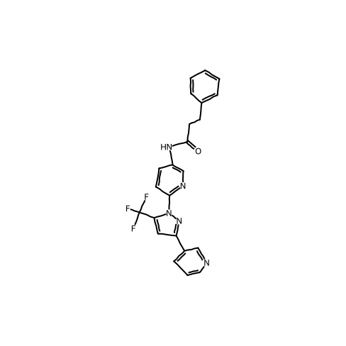 O=C(CCc1ccccc1)Nc1ccc(-n2nc(-c3cccnc3)cc2C(F)(F)F)nc1